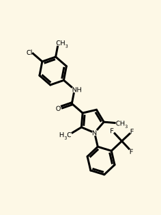 Cc1cc(NC(=O)c2cc(C)n(-c3ccccc3C(F)(F)F)c2C)ccc1Cl